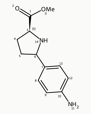 COC(=O)[C@@H]1CCC(c2ccc(N)cc2)N1